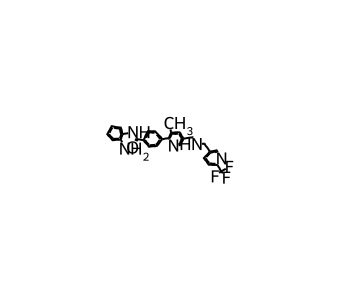 Cc1cc(CNCc2ccc(C(F)(F)F)nc2)cnc1-c1ccc(C(=O)Nc2ccccc2N)cc1